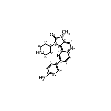 Cc1ccc(-c2ccc3ncc4c(c3n2)n(C2CCNCC2)c(=O)n4C)cn1